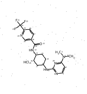 CN(C)c1ccnc(NC2CCC(NC(=O)c3ccc(C(F)(F)F)nc3)CC2)n1.Cl